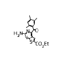 CCOC(=O)c1cc2c(C(=O)c3cc(C)c(C)cc3C)nc(N)nc2s1